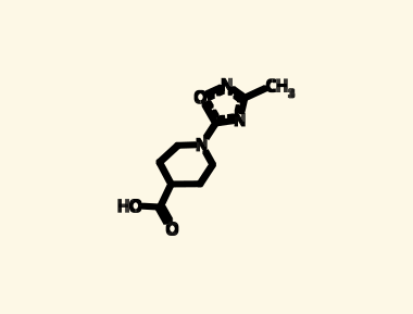 Cc1noc(N2CCC(C(=O)O)CC2)n1